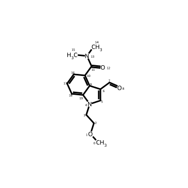 COCCn1cc(C=O)c2c(C(=O)N(C)C)cccc21